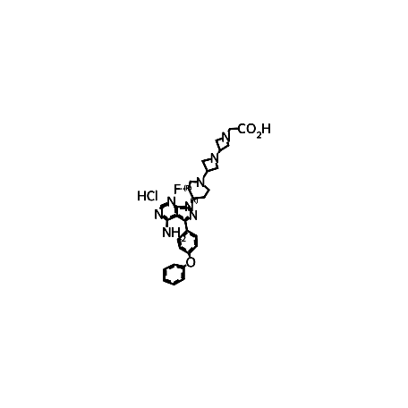 Cl.Nc1ncnc2c1c(-c1ccc(Oc3ccccc3)cc1)nn2[C@@H]1CCN(C2CN(C3CN(CC(=O)O)C3)C2)C[C@H]1F